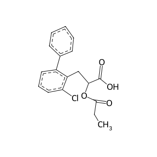 CCC(=O)OC(Cc1c(Cl)cccc1-c1ccccc1)C(=O)O